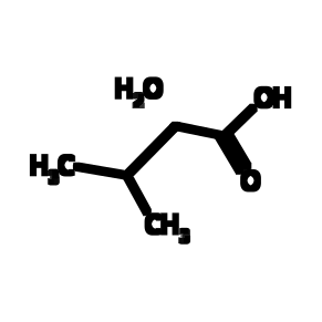 CC(C)CC(=O)O.O